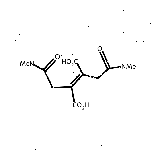 CNC(=O)C/C(C(=O)O)=C(/CC(=O)NC)C(=O)O